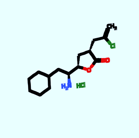 C=C(Cl)C[C@H]1C[C@@H]([C@@H](N)CC2CCCCC2)OC1=O.Cl